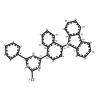 Clc1nc(-c2ccccc2)nc(-c2ccc(-n3c4ccccc4c4ccccc43)c3ccccc23)n1